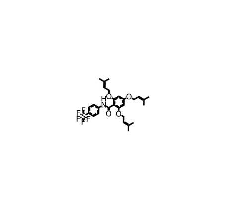 CC(C)=CCOc1cc(OCC=C(C)C)c(C(=O)Nc2ccc(S(F)(F)(F)(F)F)cc2)c(OCC=C(C)C)c1